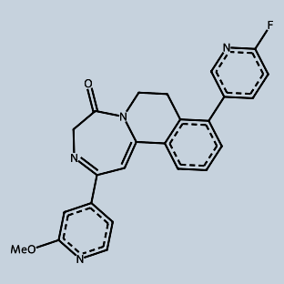 COc1cc(C2=NCC(=O)N3CCc4c(cccc4-c4ccc(F)nc4)C3=C2)ccn1